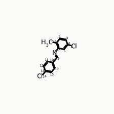 Cc1ccc(Cl)cc1N=Cc1ccc(Cl)cc1